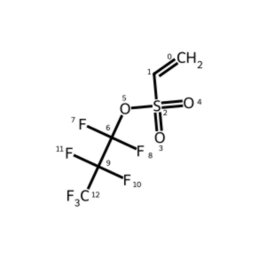 C=CS(=O)(=O)OC(F)(F)C(F)(F)C(F)(F)F